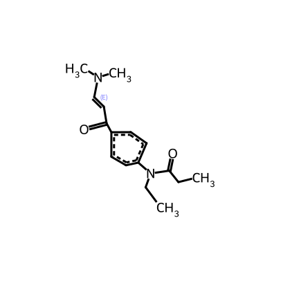 CCC(=O)N(CC)c1ccc(C(=O)/C=C/N(C)C)cc1